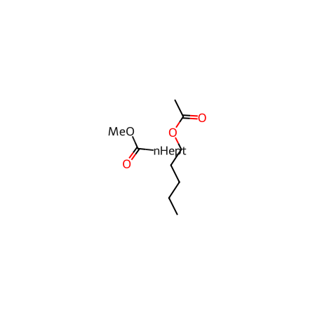 CCCCCCCC(=O)OC.CCCCCOC(C)=O